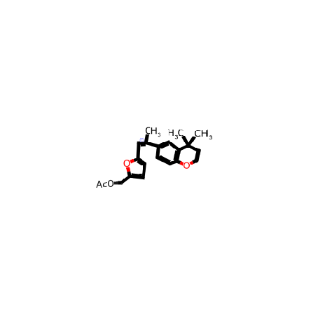 CC(=O)OCc1ccc(/C=C(/C)c2ccc3c(c2)C(C)(C)CCO3)o1